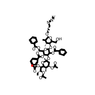 CC[C@@H](OC(C)=O)[C@@H](OC(C)=O)C1O[C@](C)(O[C@@H]2C(OC(=O)c3ccccc3)[C@H](O[C@@H]3C(CO)O[C@@H](OCCCN=[N+]=[N-])C(C)[C@H]3C)OC(COC(=O)c3ccccc3)[C@@H]2OC(=O)c2ccccc2)C[C@@H](OC(C)=O)[C@H]1C